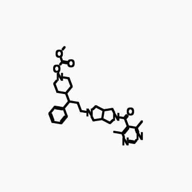 COC(=O)ON1CCC(C(CCN2CC3CN(C(=O)c4c(C)ncnc4C)CC3C2)c2ccccc2)CC1